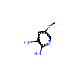 COc1cnc(N)c(N)c1